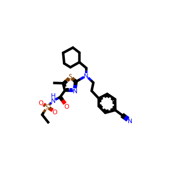 CCS(=O)(=O)NC(=O)c1nc(N(CCc2ccc(C#N)cc2)CC2CCCCC2)sc1C